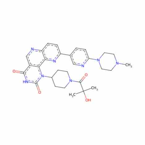 CN1CCN(c2ccc(-c3ccc4ncc5c(=O)[nH]c(=O)n(C6CCN(C(=O)C(C)(C)O)CC6)c5c4n3)cn2)CC1